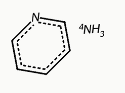 [4NH3].c1ccncc1